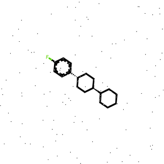 Fc1ccc([C@H]2CC[C@H](C3CC[CH]CC3)CC2)cc1